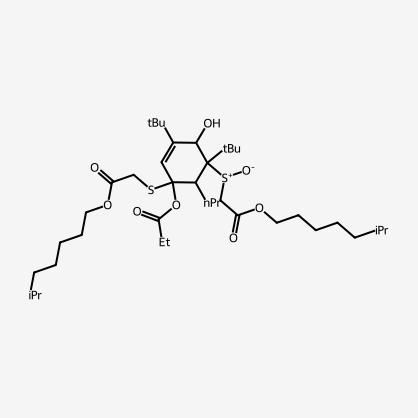 CCCC1C(OC(=O)CC)(SCC(=O)OCCCCCC(C)C)C=C(C(C)(C)C)C(O)C1([S+]([O-])CC(=O)OCCCCCC(C)C)C(C)(C)C